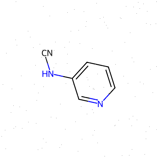 N#CNc1cccnc1